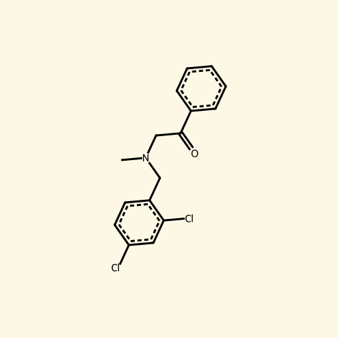 CN(CC(=O)c1ccccc1)Cc1ccc(Cl)cc1Cl